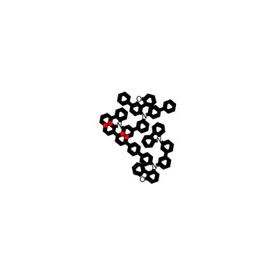 c1ccc(-c2ccc(N(c3cccc(-c4cccc(N(c5ccccc5-c5ccccc5)c5ccccc5-c5ccc(-c6ccc(-c7ccc(N(c8cccc(-c9cccc(-n%10c%11ccccc%11c%11ccccc%11%10)c9)c8)c8cccc9oc%10ccccc%10c89)cc7)cc6)cc5)c4)c3)c3ccc(-c4ccccc4)c4oc5ccccc5c34)cc2)cc1